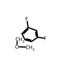 COC.Fc1cccc(F)c1